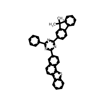 CC1(C)c2ccccc2-c2ccc(-c3nc(-c4ccccc4)nc(-c4ccc5c(ccc6c7ccccc7sc56)c4)n3)cc21